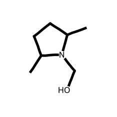 CC1CCC(C)N1CO